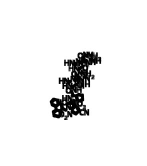 N#Cc1cc([N+](=O)[O-])c(N(Cc2cc3ccccc3c3ccccc23)C(O)C(=O)NC(C(=O)NC(NC(=N)N)C(=O)NC(NC(=N)N)C(=O)NC(NC(=N)N)C(=O)NC(NC(=N)N)C(N)=O)c2ccccc2)c([N+](=O)[O-])c1